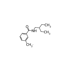 [CH2]c1cccc(C(=O)NCC(CC)CC)c1